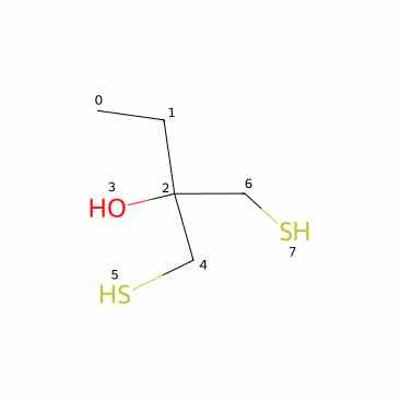 CCC(O)(CS)CS